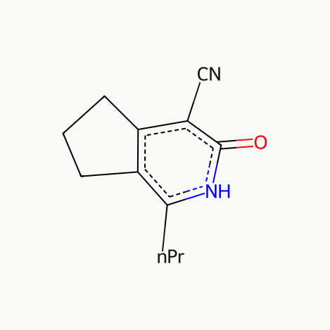 CCCc1[nH]c(=O)c(C#N)c2c1CCC2